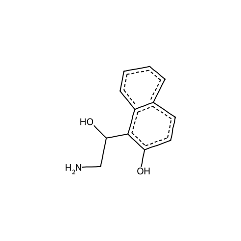 NCC(O)c1c(O)ccc2ccccc12